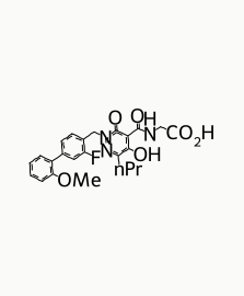 CCCc1nn(Cc2ccc(-c3ccccc3OC)cc2F)c(=O)c(C(=O)NCC(=O)O)c1O